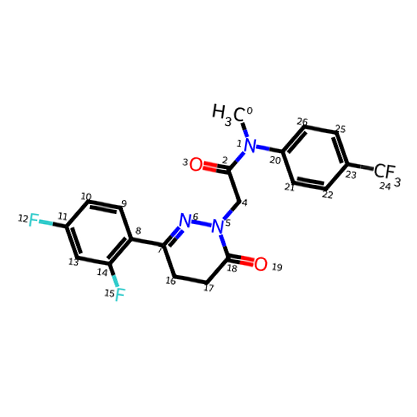 CN(C(=O)CN1N=C(c2ccc(F)cc2F)CCC1=O)c1ccc(C(F)(F)F)cc1